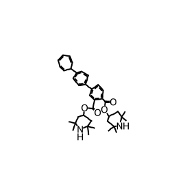 CC1(C)CC(OC(=O)c2ccc(-c3ccc(C4C=CC=CC=C4)cc3)cc2C(=O)OC2CC(C)(C)NC(C)(C)C2)CC(C)(C)N1